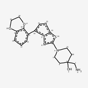 NCC1(O)CCN(c2nn3c(-c4cccc5c4OCCO5)cnc3s2)CC1